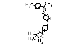 CC(=NOc1ccc(OC2CCN(C(=O)OC(C)(C)C)CC2)nn1)c1ccc(C)cc1